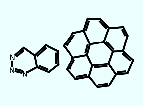 c1cc2ccc3ccc4ccc5ccc6ccc1c1c2c3c4c5c61.c1ccc2nnncc2c1